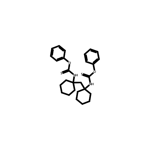 S=C(NC1(CC2(NC(=S)Oc3ccccc3)CCCCC2)CCCCC1)Oc1ccccc1